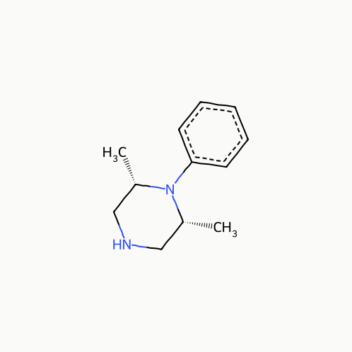 C[C@@H]1CNC[C@H](C)N1c1ccccc1